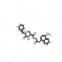 Cc1ccc(CC(=O)OCC(=O)C(CC(=O)O)NC(=O)OCc2ccccc2)c2ccccc12